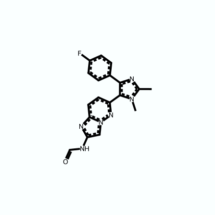 Cc1nc(-c2ccc(F)cc2)c(-c2ccc3nc(NC=O)cn3n2)n1C